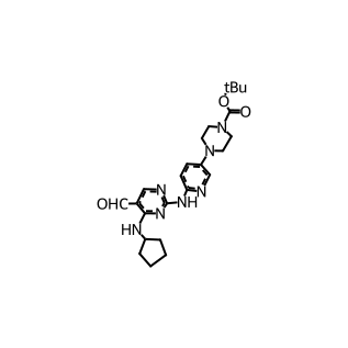 CC(C)(C)OC(=O)N1CCN(c2ccc(Nc3ncc(C=O)c(NC4CCCC4)n3)nc2)CC1